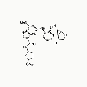 CNc1cc(Nc2cccn([C@]34C5OC[C@@H]3[C@H]54)c2=O)nc2c(C(=O)N[C@H]3CC[C@H](OC)C3)cnn12